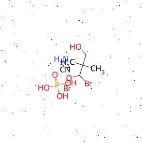 CC(C)(CO)C(Br)OBr.N#CN.O=P(O)(O)O